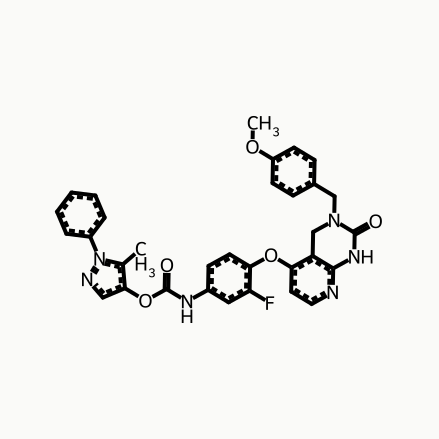 COc1ccc(CN2Cc3c(Oc4ccc(NC(=O)Oc5cnn(-c6ccccc6)c5C)cc4F)ccnc3NC2=O)cc1